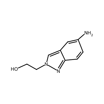 Nc1ccc2nn(CCO)cc2c1